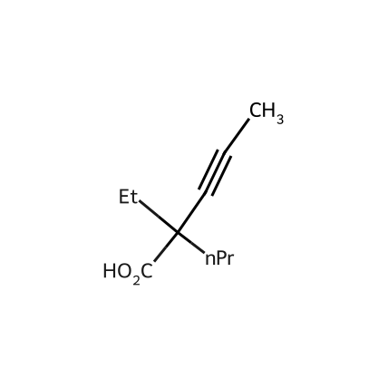 CC#CC(CC)(CCC)C(=O)O